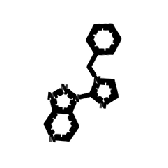 c1ccc(Cn2ccnc2-n2nnc3cnccc32)cc1